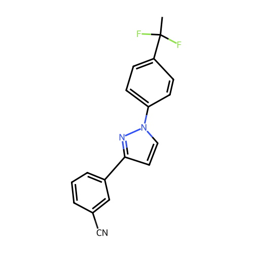 CC(F)(F)c1ccc(-n2ccc(-c3cccc(C#N)c3)n2)cc1